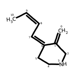 C=C1CNCC/C1=C/C=C\C